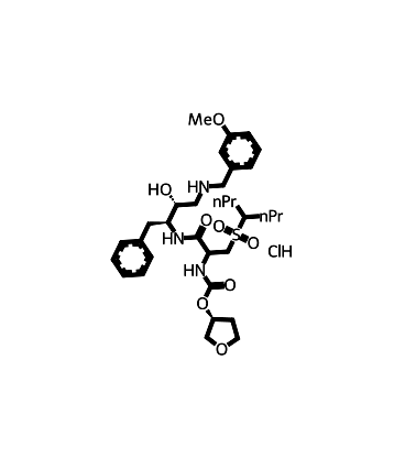 CCCC(CCC)S(=O)(=O)CC(NC(=O)O[C@H]1CCOC1)C(=O)N[C@@H](Cc1ccccc1)[C@H](O)CNCc1cccc(OC)c1.Cl